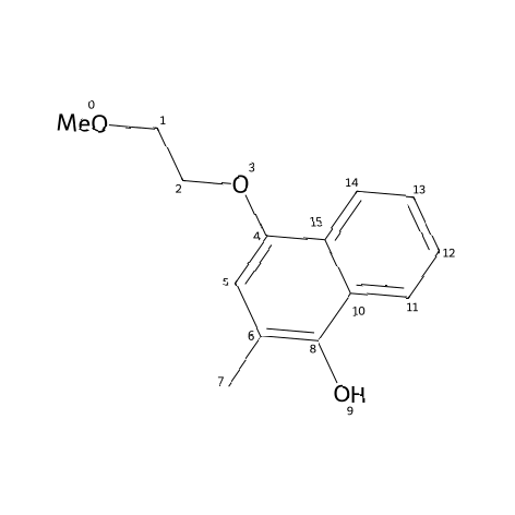 COCCOc1cc(C)c(O)c2ccccc12